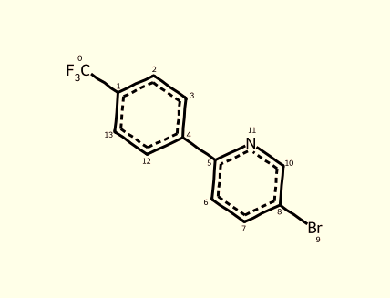 FC(F)(F)c1ccc(-c2ccc(Br)cn2)cc1